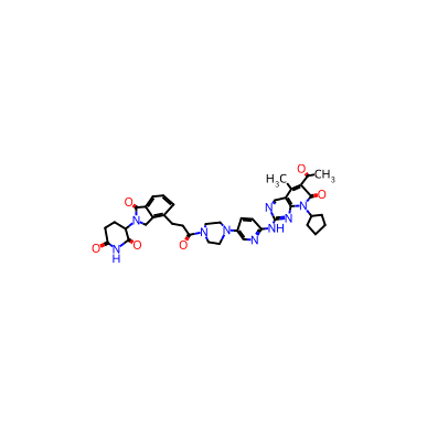 CC(=O)c1c(C)c2cnc(Nc3ccc(N4CCN(C(=O)CCc5cccc6c5CN(C5CCC(=O)NC5=O)C6=O)CC4)cn3)nc2n(C2CCCC2)c1=O